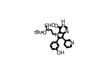 CC(C)(C)ON(C=O)CCn1c(-c2cccc(O)c2)c(-c2cccnc2)c2nc[nH]c(=O)c21